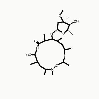 CO[C@]1(C)C[C@H](OC2C(C)CC(C)CC(C)CN(C)C(C)CC(C)C(O)OC(=O)C2C)O[C@@H](C)[C@@H]1O